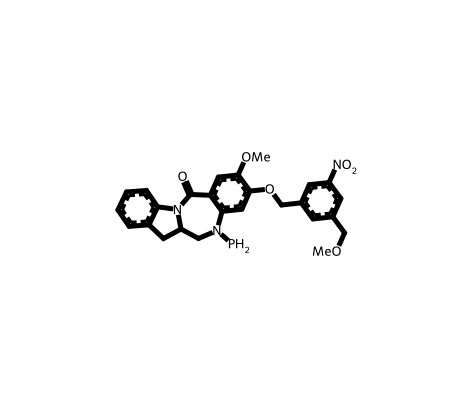 COCc1cc(COc2cc3c(cc2OC)C(=O)N2c4ccccc4CC2CN3P)cc([N+](=O)[O-])c1